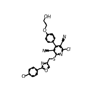 N#Cc1c(Cl)nc(SCc2coc(-c3ccc(Cl)cc3)n2)c(C#N)c1-c1ccc(OCCO)cc1